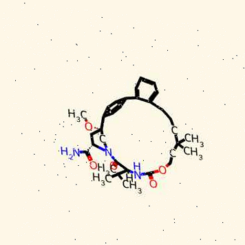 CO[C@@]12C[C@@H](C(N)=O)N(C1)C(=O)[C@H](C(C)(C)C)NC(=O)OCCC(C)(C)CCCc1ccccc1-c1ccc2cc1